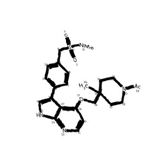 CNS(=O)(=O)Cc1ccc(-c2c[nH]c3nccc(OCC4(C)CCN(C(C)=O)CC4)c23)cc1